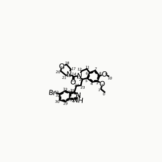 CCOc1cc2c(cc1OC)CCN(C(=O)N1CCOCC1)C2CCc1n[nH]c2ccc(Br)cc12